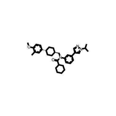 COc1ccc([C@H]2CC[C@H](CN(C(=O)C3CCCCC3)c3cccc(-c4cnn(C(C)C)c4)c3)CC2)cc1C